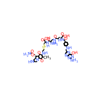 CC1=C(NCCSSC[C@H](NC(=O)[C@H](N)CNC(=O)CC[C@@H](NC(=O)c2ccc(NCc3cnc4nc(N)nc(O)c4n3)cc2)C(=O)O)C(=O)O)C(=O)C2=C(C1=O)N1CC3NC3C1[C@@H]2COC(N)=O